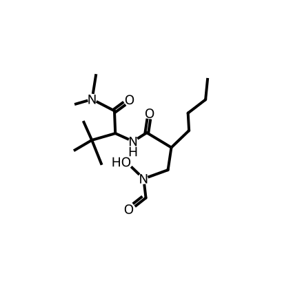 CCCCC(CN(O)C=O)C(=O)NC(C(=O)N(C)C)C(C)(C)C